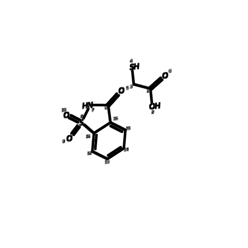 O=C(O)CS.O=C1NS(=O)(=O)c2ccccc21